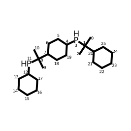 CC(C)(PC1CCC(C(C)(C)PC2CCCCC2)CC1)C1CCCCC1